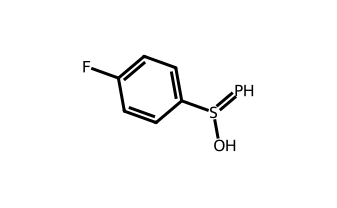 OS(=P)c1ccc(F)cc1